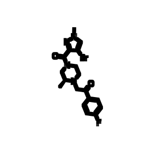 C[C@H]1CN(C(=O)c2nn(C)cc2Br)CCN1CC(=O)c1ccc(F)cc1